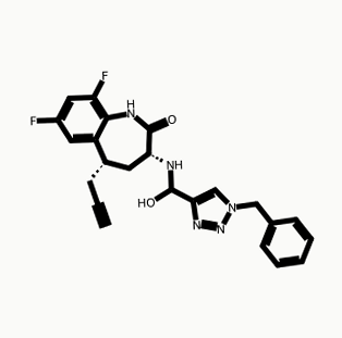 C#CC[C@H]1C[C@@H](NC(O)c2cn(Cc3ccccc3)nn2)C(=O)Nc2c(F)cc(F)cc21